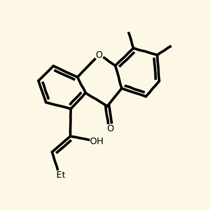 CCC=C(O)c1cccc2oc3c(C)c(C)ccc3c(=O)c12